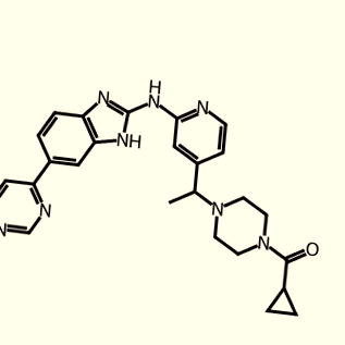 CC(c1ccnc(Nc2nc3ccc(-c4ccncn4)cc3[nH]2)c1)N1CCN(C(=O)C2CC2)CC1